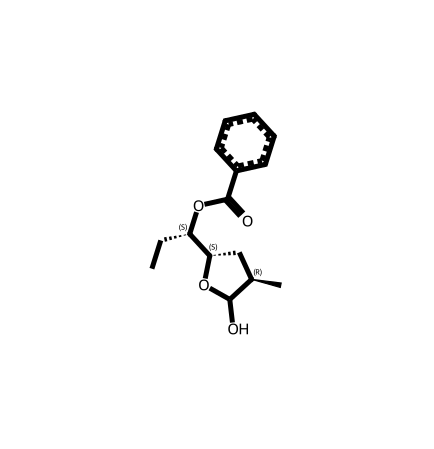 CC[C@H](OC(=O)c1ccccc1)[C@@H]1C[C@@H](C)C(O)O1